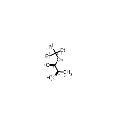 C=C(C)C(=O)OC(CC)(CC)C(C)C